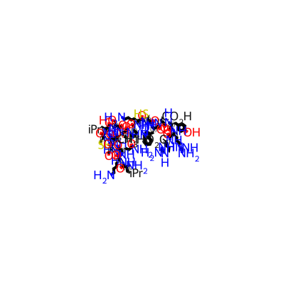 CC(C)C[C@H](NC(=O)[C@H](CS)NC(=O)[C@@H](NC(=O)[C@H](CO)NC(=O)[C@H](CCC(N)=O)NC(=O)[C@H](CCCCN)NC(=O)[C@@H](N)CC(C)C)[C@@H](C)O)C(=O)N[C@@H](CO)C(=O)N[C@@H](CC(C)C)C(=O)N1CCC[C@H]1C(=O)N[C@@H](CCCCN)C(=O)N[C@@H](CS)C(=O)N[C@@H](Cc1c[nH]c2ccccc12)C(=O)N[C@@H](CC(=O)O)C(=O)N[C@@H](Cc1ccc(O)cc1)C(=O)N[C@@H](CCCNC(=N)N)C(=O)N[C@@H](CCCNC(=N)N)C(=O)O